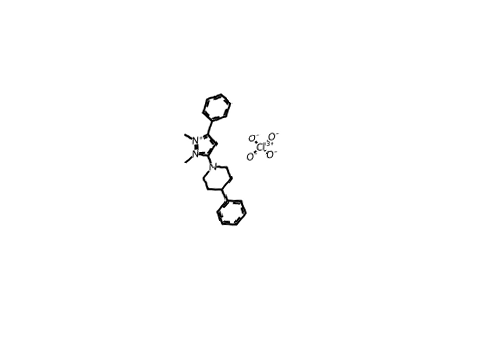 Cn1c(N2CCC(c3ccccc3)CC2)cc(-c2ccccc2)[n+]1C.[O-][Cl+3]([O-])([O-])[O-]